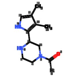 CCC(=O)N1CCNC(c2[nH]cc(C)c2C)C1